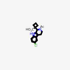 CC(=O)N1CCc2c([nH]c3ccc(Cl)cc23)C1C1(C(=O)O)CCC1